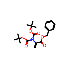 C=C(C(=O)OCc1ccccc1)N(C(=O)OC(C)(C)C)C(=O)OC(C)(C)C